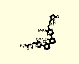 COc1nc(-c2cccc(-c3cccc(-c4cnc(CNCC5CCC(=O)N5)c(OC)n4)c3Cl)c2Cl)cnc1CNCC(N)=O